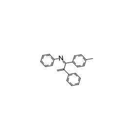 C=C(C(=Nc1ccccc1)c1ccc(C)cc1)c1ccccc1